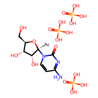 CC(=O)[C@@]1(n2ccc(N)nc2=O)O[C@H](CO)[C@@H](O)[C@H]1O.O=P(O)(O)O.O=P(O)(O)O.O=P(O)(O)O